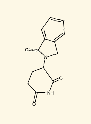 O=C1CCC(N2Cc3c[c]ccc3C2=O)C(=O)N1